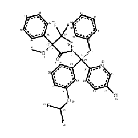 CO[C@](C(=O)N[C@](Cc1ccccc1)(c1cccc(OC(F)F)c1)c1ccc(Cl)cn1)(c1ccccc1)C(F)(F)F